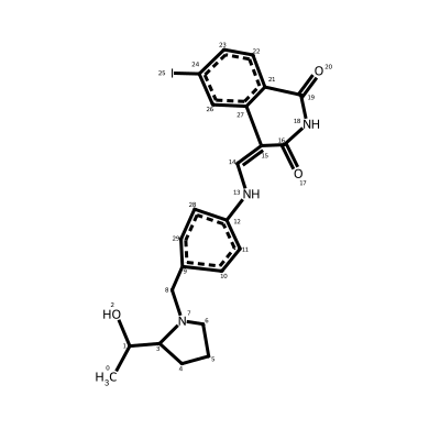 CC(O)C1CCCN1Cc1ccc(NC=C2C(=O)NC(=O)c3ccc(I)cc32)cc1